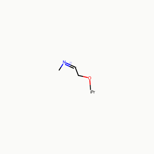 C/N=[C]\COC(C)C